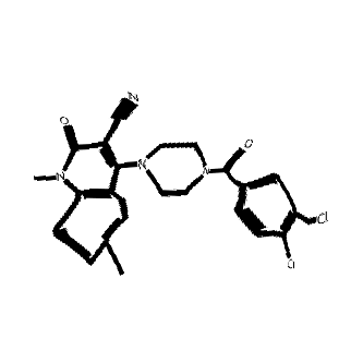 Cc1ccc2c(c1)c(N1CCN(C(=O)c3ccc(Cl)c(Cl)c3)CC1)c(C#N)c(=O)n2C